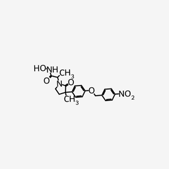 CC(C(=O)NO)N1CCC(C)(c2ccc(OCc3ccc([N+](=O)[O-])cc3)cc2)C1=O